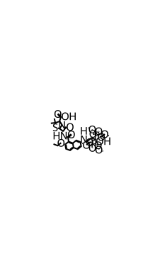 CCOc1ccc2ccc(NCCC(O)(P(=O)(OOC)OOC)P(=O)(OOC)OOC)cc2c1C(=O)NC1C(=O)N2C1SC(C)(C)C2C(=O)O